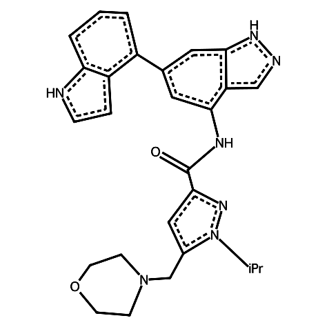 CC(C)n1nc(C(=O)Nc2cc(-c3cccc4[nH]ccc34)cc3[nH]ncc23)cc1CN1CCOCC1